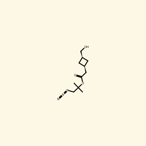 CC(C)(CN=[N+]=[N-])OC(=O)C[C@H]1C[C@@H](CO)C1